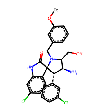 CCOc1cccc(CN2[C@@H](CO)[C@@H](N)[C@H](c3cccc(Cl)c3)[C@]23C(=O)Nc2cc(Cl)ccc23)c1